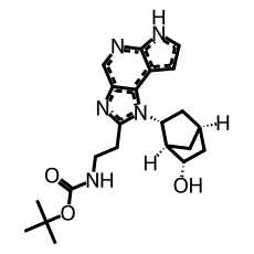 CC(C)(C)OC(=O)NCCc1nc2cnc3[nH]ccc3c2n1[C@@H]1C[C@@H]2C[C@H]1[C@@H](O)C2